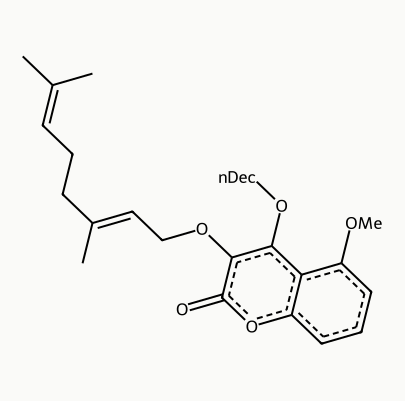 CCCCCCCCCCOc1c(OC/C=C(\C)CCC=C(C)C)c(=O)oc2cccc(OC)c12